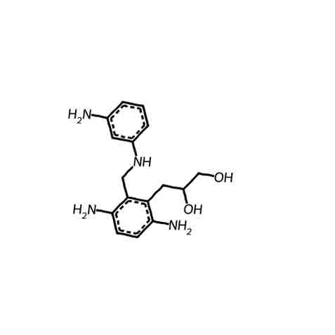 Nc1cccc(NCc2c(N)ccc(N)c2CC(O)CO)c1